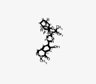 CN(c1cnc(-c2cc3cnn(C)c(=O)c3cc2O)nn1)[C@H]1C[C@@H]2CC[C@H]([C@H]1F)N2C(=O)OC(C)(C)C